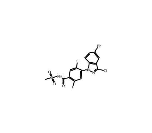 CS(=O)(=O)NC(=O)c1cc(Cl)c(-n2nc(Cl)c3cc(Br)ccc32)cc1F